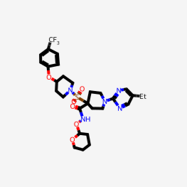 CCc1cnc(N2CCC(C(=O)NOC3CCCCO3)(S(=O)(=O)N3CCC(Oc4ccc(C(F)(F)F)cc4)CC3)CC2)nc1